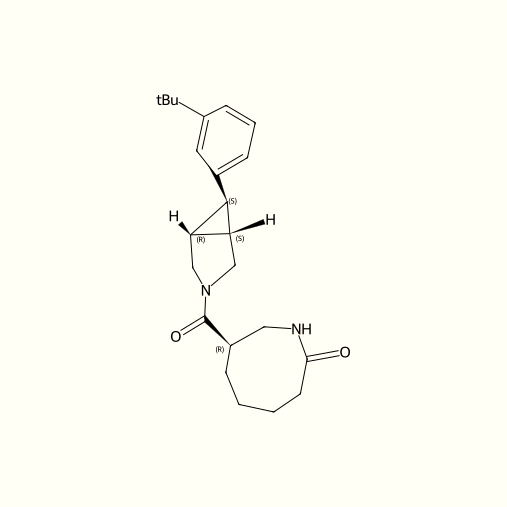 CC(C)(C)c1cccc([C@H]2[C@@H]3CN(C(=O)[C@@H]4CCCCC(=O)NC4)C[C@@H]32)c1